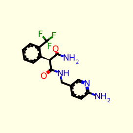 NC(=O)[C@@H](C(=O)NCc1ccc(N)nc1)c1ccccc1C(F)(F)F